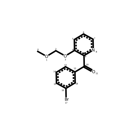 COCOc1cccnc1C(=O)c1cccc(Br)c1